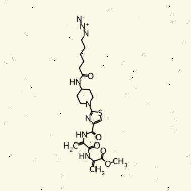 C=C(NC(=O)c1csc(N2CCC(NC(=O)CCCCCN=[N+]=[N-])CC2)n1)C(=O)NC(=C)C(=O)OC